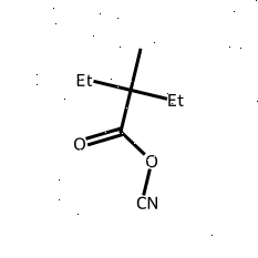 CCC(C)(CC)C(=O)OC#N